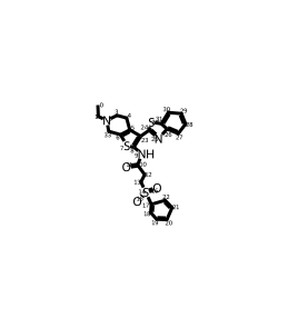 CCN1CCc2c(sc(NC(=O)CCS(=O)(=O)c3ccccc3)c2-c2nc3ccccc3s2)C1